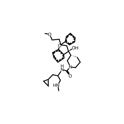 CNCC(CC1CC1)NC(=O)N1CCC[C@@H]([C@@](O)(CCCCOC)c2ccccc2Oc2ccccc2)C1